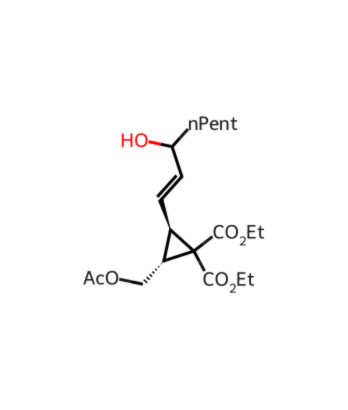 CCCCCC(O)/C=C/[C@@H]1[C@@H](COC(C)=O)C1(C(=O)OCC)C(=O)OCC